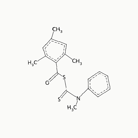 Cc1cc(C)c(C(=O)SC(=S)N(C)c2ccccc2)c(C)c1